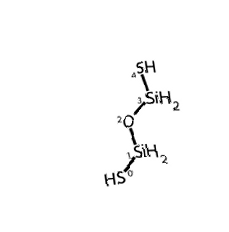 S[SiH2]O[SiH2]S